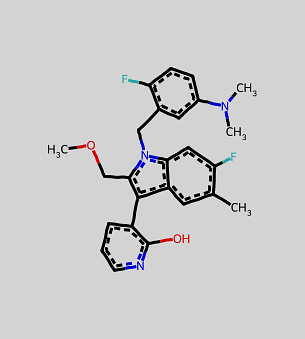 COCc1c(-c2cccnc2O)c2cc(C)c(F)cc2n1Cc1cc(N(C)C)ccc1F